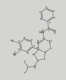 CC(C)OC1CC2CSC(NC(=O)c3ccccc3)=NC2(c2ccc(F)c(Br)c2)C1